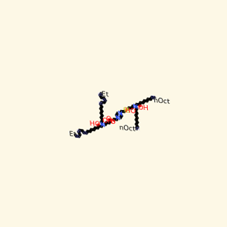 CC/C=C\C/C=C\C/C=C\CCCCCCC(O)CN(CCCC(=O)OCCN1CCN(CCSSCCCN(CC(O)CCCCCC/C=C\CCCCCCCC)CC(O)CCCCCC/C=C\CCCCCCCC)CC1)CC(O)CCCCCC/C=C\C/C=C\C/C=C\CC